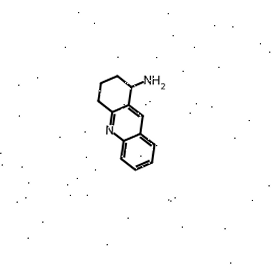 NC1CCCc2nc3ccccc3cc21